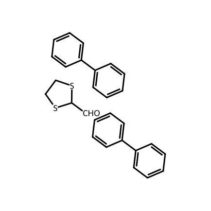 O=CC1SCCS1.c1ccc(-c2ccccc2)cc1.c1ccc(-c2ccccc2)cc1